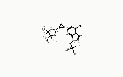 CC1(C)OB([C@H]2C[C@@H]2c2cc(Cl)c3cnn(CC(F)(F)F)c3c2)OC1(C)C